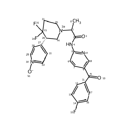 CC(C(=O)Nc1ccc(C(=O)c2ccc(F)cc2)cn1)N1CCC(F)(F)[C@@H](c2cc[n+]([O-])cc2)C1